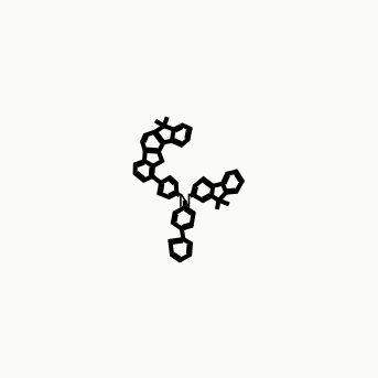 CC1(C)c2ccccc2-c2ccc(N(c3ccc(-c4ccccc4)cc3)c3ccc(-c4cccc5c4Cc4c-5ccc5c4-c4ccccc4C5(C)C)cc3)cc21